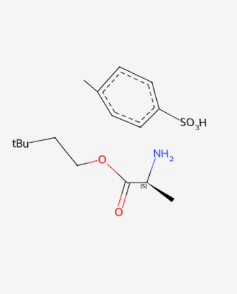 C[C@H](N)C(=O)OCCC(C)(C)C.Cc1ccc(S(=O)(=O)O)cc1